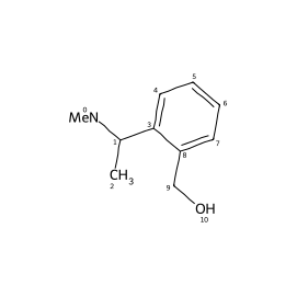 CNC(C)c1ccccc1CO